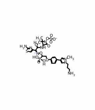 C[n+]1cc(-c2ccc(OCC(O/N=C(\C(=O)N[C@@H]3C(=O)N(OS(=O)(=O)[O-])C3(C)C)c3csc(N)n3)P(=O)(O)O)cc2)cn1CCCN